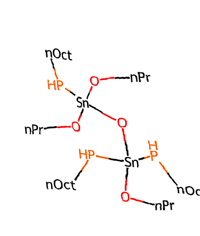 CCCCCCCC[PH][Sn]([O]CCC)([O]CCC)[O][Sn]([O]CCC)([PH]CCCCCCCC)[PH]CCCCCCCC